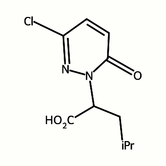 CC(C)CC(C(=O)O)n1nc(Cl)ccc1=O